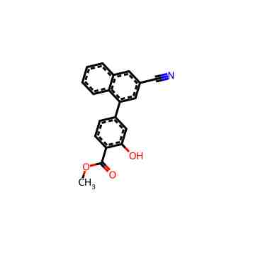 COC(=O)c1ccc(-c2cc(C#N)cc3ccccc23)cc1O